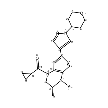 CC(=O)N1c2ccc(-c3cnn(C4CCOCC4)c3)cc2N(C(=O)C2CC2)C[C@@H]1C